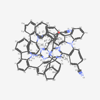 CCC1(c2nc(-c3cc(C#N)ccc3-n3c4c(c5ccccc53)CCC=C4)nc(-n3c4ccccc4c4cccc(-c5cccc(-c6nc(-c7cc(C#N)ccc7-n7c8ccccc8c8cc(-c9ccccc9)ccc87)nc(C(C)(C)C)n6)c5)c43)n2)CC2CCC(C2)C1